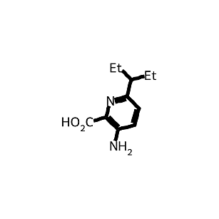 CCC(CC)c1ccc(N)c(C(=O)O)n1